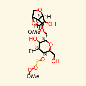 CC[C@H]1C(O)[C@H](COC[C@H]2C3CO[C@H]2C(O)[C@@H](OC)O3)OC(CO)[C@@H]1OSOOOC